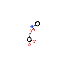 COc1ccc(CCOC(=O)Nc2ccccc2)cc1OC